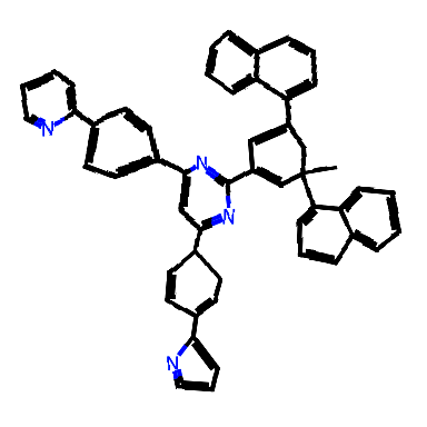 CC1(c2cccc3ccccc23)C=C(c2nc(-c3ccc(-c4ccccn4)cc3)cc(C3C=CC(C4=CC=C=N4)=CC3)n2)C=C(c2cccc3ccccc23)C1